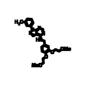 COCCOc1ccc(CNc2ncnc3c2cnn3-c2cccc(C)c2)cc1OCCOC